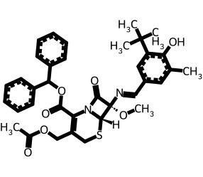 CO[C@@]1(N=Cc2cc(C)c(O)c(C(C)(C)C)c2)C(=O)N2C(C(=O)OC(c3ccccc3)c3ccccc3)=C(COC(C)=O)CS[C@H]21